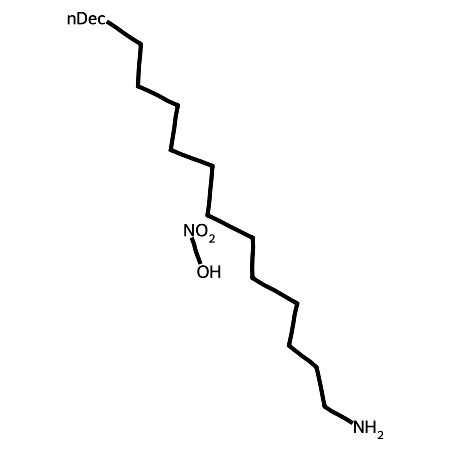 CCCCCCCCCCCCCCCCCCCCCCN.O=[N+]([O-])O